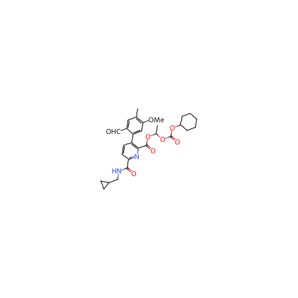 COc1cc(-c2ccc(C(=O)NCC3CC3)nc2C(=O)OC(C)OC(=O)OC2CCCCC2)c(C=O)cc1C